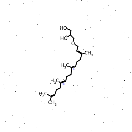 CC(C)=CCC/C(C)=C/CC/C(C)=C/CCC(C)=CCOCC(O)CO